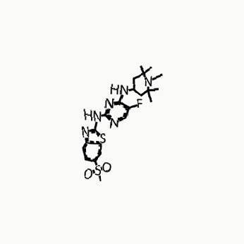 CN1C(C)(C)CC(Nc2nc(Nc3nc4ccc(S(C)(=O)=O)cc4s3)ncc2F)CC1(C)C